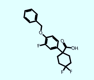 O=C(O)C1(c2ccc(OCc3ccccc3)c(F)c2)CCC(F)(F)CC1